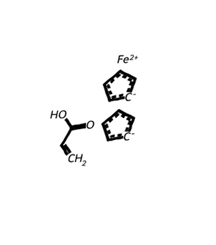 C=CC(=O)O.[Fe+2].c1cc[cH-]c1.c1cc[cH-]c1